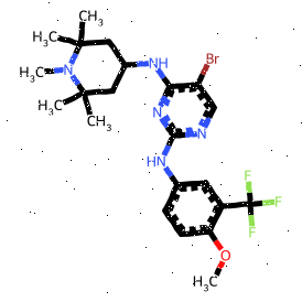 COc1ccc(Nc2ncc(Br)c(NC3CC(C)(C)N(C)C(C)(C)C3)n2)cc1C(F)(F)F